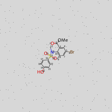 COC(=O)c1cc(Br)cc(C)c1N(C)S(=O)(=O)c1ccc(O)cc1